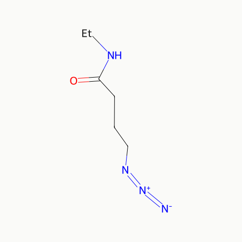 CCNC(=O)CCCN=[N+]=[N-]